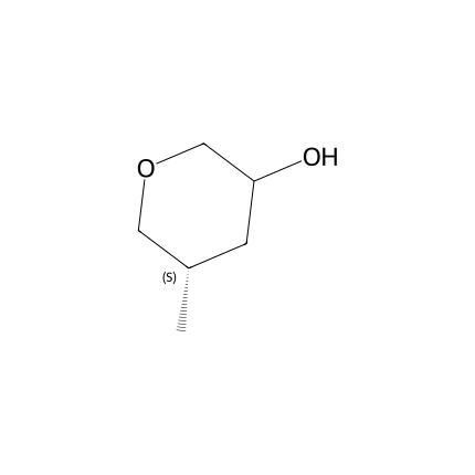 C[C@@H]1COCC(O)C1